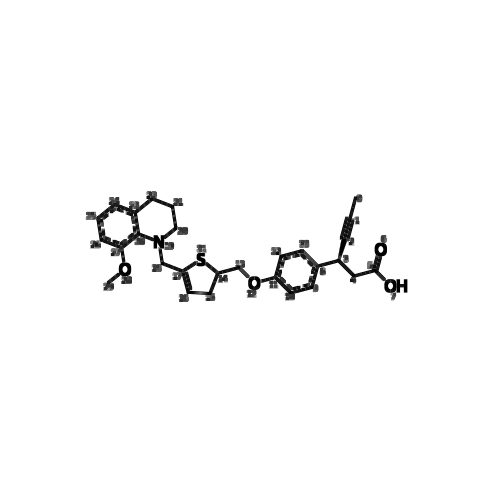 CC#C[C@@H](CC(=O)O)c1ccc(OCC2CC=C(CN3CCCc4cccc(OC)c43)S2)cc1